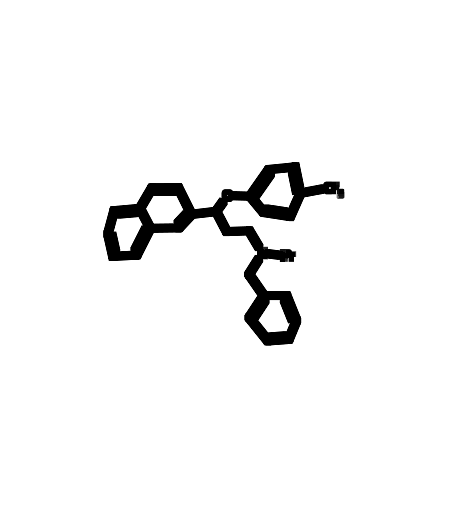 CC(C)N(CCC(Oc1ccc(C(F)(F)F)cc1)c1ccc2ccccc2c1)Cc1ccccc1